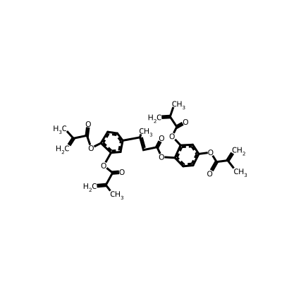 C=C(C)C(=O)Oc1ccc(OC(=O)/C=C(\C)c2ccc(OC(=O)C(=C)C)c(OC(=O)C(=C)C)c2)c(OC(=O)C(=C)C)c1